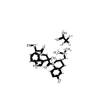 CCOCC(=O)NCC(C)(C(=O)N1C[C@@H](CN(C)C)Cc2cc(Cl)ccc21)c1c[nH]c2ccccc12.O=C(O)C(F)(F)F